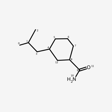 CC(C)CC1CCCC(C(N)=O)C1